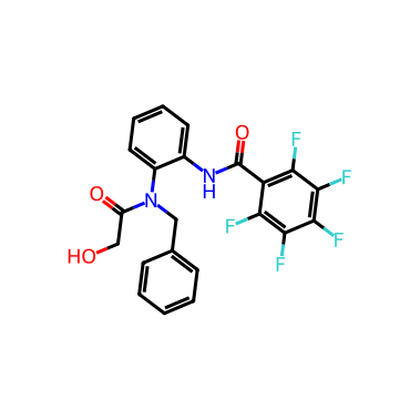 O=C(Nc1ccccc1N(Cc1ccccc1)C(=O)CO)c1c(F)c(F)c(F)c(F)c1F